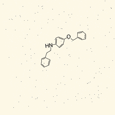 c1ccc(CCNc2ccc(OCc3ccccc3)cc2)cc1